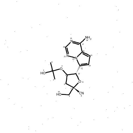 CC(C)(O)OC1C[C@@](C#N)(CO)O[C@H]1c1ccc2c(N)ncnn12